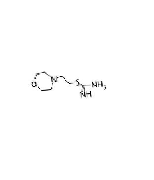 N=C(N)SCCN1CCOCC1